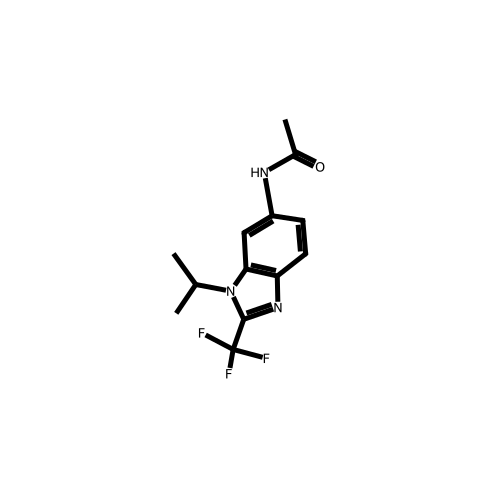 CC(=O)Nc1ccc2nc(C(F)(F)F)n(C(C)C)c2c1